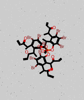 C=CC(=O)C(C)c1c(Br)c(Br)c(Br)c(OP(=O)(Oc2c(Br)c(Br)c(Br)c(C(C)C(=O)C=C)c2C(C)C(=O)C=C)Oc2c(Br)c(Br)c(Br)c(C(C)C(=O)C=C)c2C(C)C(=O)C=C)c1C(C)C(=O)C=C